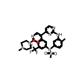 Cc1ccc(N(c2ccc(CN3CCN(C)CC3)c(C(F)(F)F)c2)S(C)(=O)=O)cc1Nc1nccc(-c2cncnc2)n1